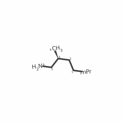 CCCCC[C@H](C)CN